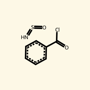 N=S=O.O=C(Cl)c1ccccc1